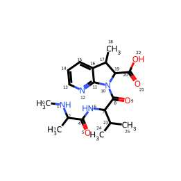 CNC(C)C(=O)NC(C(=O)N1c2ncccc2C(C)C1C(=O)O)C(C)C